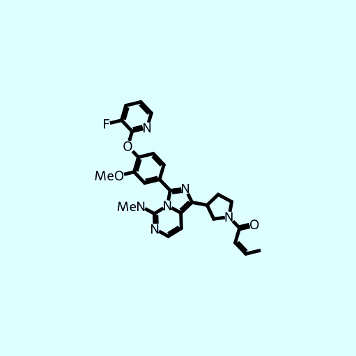 C/C=C\C(=O)N1CCC(c2nc(-c3ccc(Oc4ncccc4F)c(OC)c3)n3c(NC)nccc23)C1